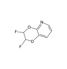 FC1Oc2cccnc2OC1F